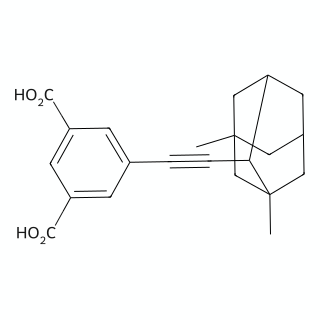 CC12CC3CC(C1)C(C#Cc1cc(C(=O)O)cc(C(=O)O)c1)C(C)(C3)C2